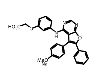 COc1ccc(-c2c(-c3ccccc3)oc3ncnc(Nc4cccc(OCC(=O)O)c4)c23)cc1.[Na]